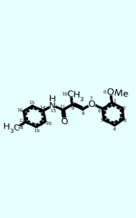 COc1ccccc1O/C=C(\C)C(=O)Nc1ccc(C)cc1